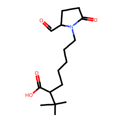 CC(C)(C)C(CCCCCN1C(=O)CCC1C=O)C(=O)O